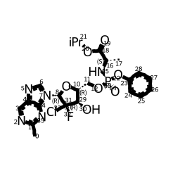 Cc1ncc2ncn([C@@H]3O[C@H](CO[P@](=O)(N[C@@H](C)C(=O)OC(C)C)Oc4ccccc4)[C@@H](O)[C@]3(F)Cl)c2n1